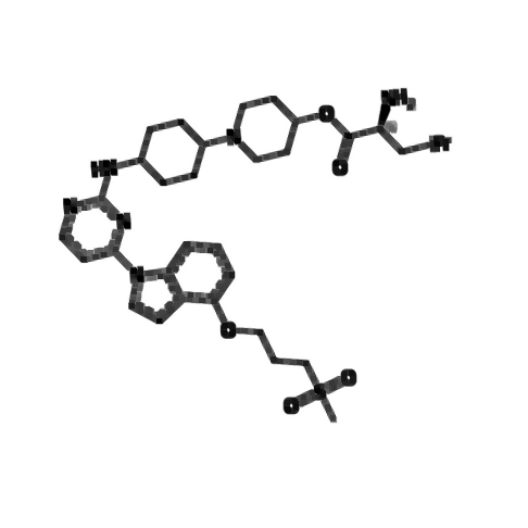 CC(C)C[C@H](N)C(=O)OC1CCN(C2CCC(Nc3nccc(-n4ccc5c(OCCCS(C)(=O)=O)cccc54)n3)CC2)CC1